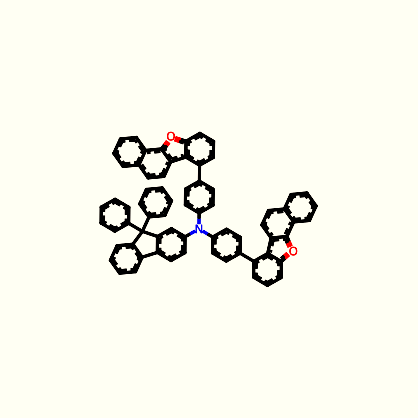 c1ccc(C2(c3ccccc3)c3ccccc3-c3ccc(N(c4ccc(-c5cccc6oc7c8ccccc8ccc7c56)cc4)c4ccc(-c5cccc6oc7c8ccccc8ccc7c56)cc4)cc32)cc1